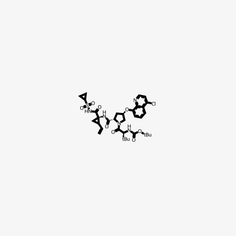 C=CC1C[C@]1(NC(=O)[C@@H]1C[C@@H](Oc2cccc3c(Cl)ccnc23)CN1C(=O)[C@@H](NC(=O)OC(C)(C)C)C(C)(C)C)C(=O)NS(=O)(=O)C1CC1